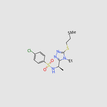 CCn1c(SCCSC)nnc1[C@@H](C)NS(=O)(=O)c1ccc(Cl)cc1